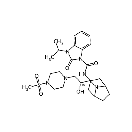 CC(C)n1c(=O)n(C(=O)NC2CC3CCC(C2)N3C[C@H](O)CN2CCN(S(C)(=O)=O)CC2)c2ccccc21